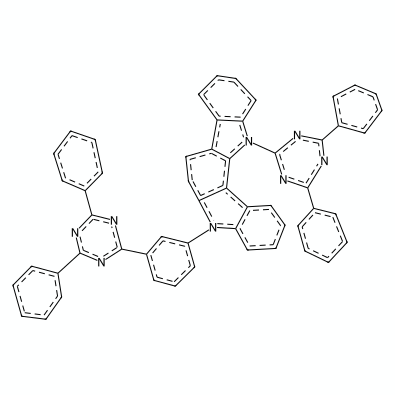 c1ccc(-c2nc(-c3ccccc3)nc(-c3cccc(-n4c5ccccc5c5c4ccc4c6ccccc6n(-c6nc(-c7ccccc7)nc(-c7ccccc7)n6)c45)c3)n2)cc1